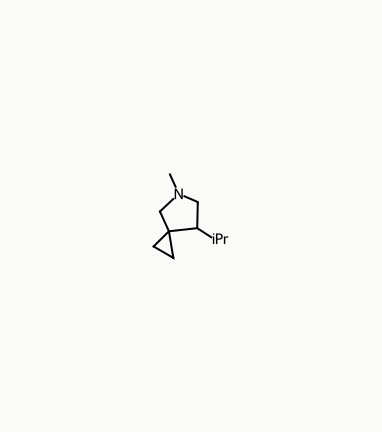 CC(C)C1CN(C)CC12CC2